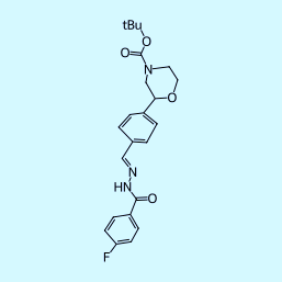 CC(C)(C)OC(=O)N1CCOC(c2ccc(/C=N/NC(=O)c3ccc(F)cc3)cc2)C1